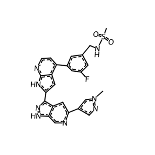 Cn1cc(-c2cc3c(-c4cc5c(-c6cc(F)cc(CNS(C)(=O)=O)c6)ccnc5[nH]4)n[nH]c3cn2)cn1